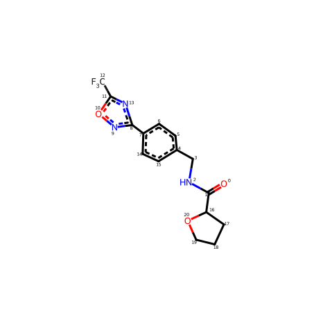 O=C(NCc1ccc(-c2noc(C(F)(F)F)n2)cc1)C1CCCO1